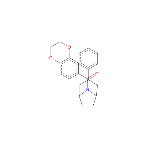 O=C(c1ccc2c(c1)OCCO2)N1C2CCC1CC(c1ccccc1)C2